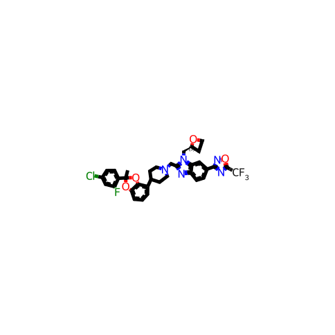 CC1(c2ccc(Cl)cc2F)Oc2cccc(C3CCN(Cc4nc5ccc(-c6noc(C(F)(F)F)n6)cc5n4C[C@@H]4CCO4)CC3)c2O1